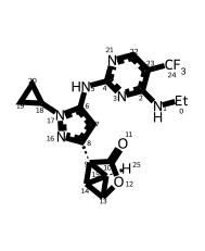 CCNc1nc(Nc2cc([C@@]34C(=O)OC5C3[C@H]54)nn2C2CC2)ncc1C(F)(F)F